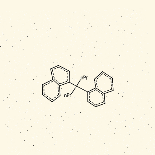 [CH2]CCC(CCC)(c1cccc2ccccc12)c1cccc2ccccc12